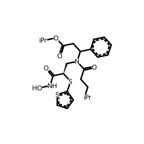 CC(C)CCC(=O)N(C[C@@H](Sc1cccs1)C(=O)NO)C(CC(=O)OC(C)C)c1ccccc1